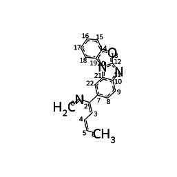 C=N/C(=C\C=C/C)c1ccc2nc3oc4ccccc4n3c2c1